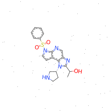 CC(O)c1nc2cnc3c(ccn3S(=O)(=O)c3ccccc3)c2n1[C@@H]1CCNC1